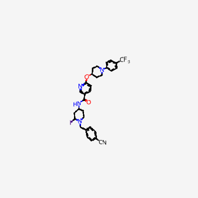 N#Cc1ccc(CN2CCC(NC(=O)c3ccc(OC4CCN(c5ccc(C(F)(F)F)cc5)CC4)nc3)CC2I)cc1